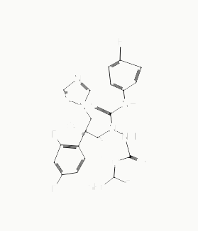 CCCC(F)OC(=O)NN(C(=S)Nc1ccc(F)cc1)[C@H](C)[C@](O)(Cn1cncn1)c1ccc(F)cc1F